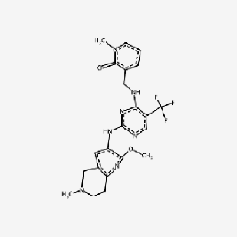 COc1nc2c(cc1Nc1ncc(C(F)(F)F)c(NCc3cccn(C)c3=O)n1)CN(C)CC2